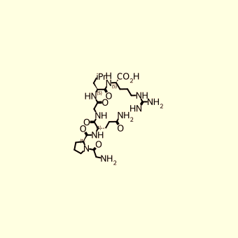 CC(C)C[C@H](NC(=O)CNC(=O)[C@H](CCC(N)=O)NC(=O)[C@@H]1CCCN1C(=O)CN)C(=O)N[C@@H](CCCNC(=N)N)C(=O)O